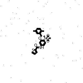 Cc1ccc(C)c(COc2cc(NC(=O)c3cccs3)ccc2N(C)S(C)(=O)=O)c1